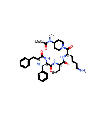 CCCN(C(=O)OC)C1CCN(C(=O)[C@@H](CCCCN)NC(=O)[C@@H](CC(C)C)NC(=O)[C@@H](Cc2ccccc2)NC(=O)[C@H](N)Cc2ccccc2)CC1